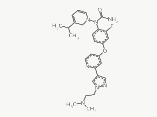 CC(C)C1=CC=CN(N(C(N)=O)c2ccc(Oc3ccnc(-c4cnn(CCN(C)C)c4)c3)cc2F)C1